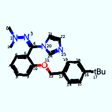 CN(C)/N=C(\c1ccccc1OCc1ccc(C(C)(C)C)cc1)n1ccnc1